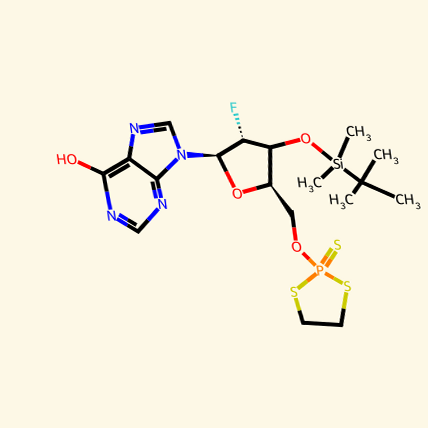 CC(C)(C)[Si](C)(C)OC1[C@@H](F)[C@H](n2cnc3c(O)ncnc32)O[C@@H]1COP1(=S)SCCS1